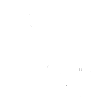 C=c1/c(=C\c2ccc(N(C)C)cc2)n(C)c(=O)n1CC